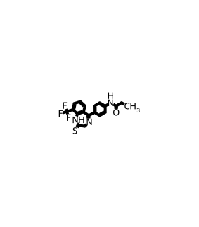 CCC(=O)Nc1ccc(C2=NCC(=S)Nc3c2cccc3C(F)(F)F)cc1